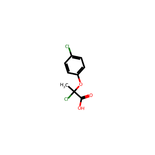 CC(Cl)(Oc1ccc(Cl)cc1)C(=O)O